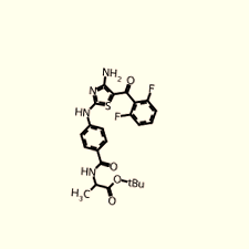 CC(NC(=O)c1ccc(Nc2nc(N)c(C(=O)c3c(F)cccc3F)s2)cc1)C(=O)OC(C)(C)C